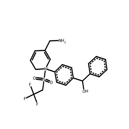 NCC1=C[N+](c2ccc(C(O)c3ccccc3)cc2)(S(=O)(=O)CC(F)(F)F)CC=C1